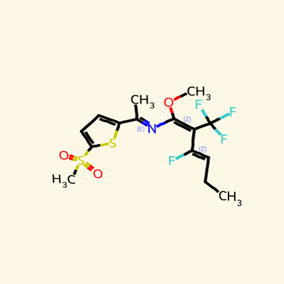 CC/C=C(F)/C(=C(\N=C(/C)c1ccc(S(C)(=O)=O)s1)OC)C(F)(F)F